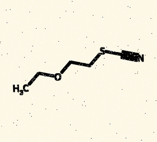 CCOCCSC#N